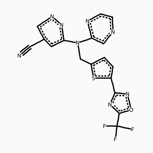 N#Cc1cnnc(N(Cc2ccc(-c3noc(C(F)(F)F)n3)s2)c2cnccn2)c1